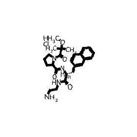 COC(C)(C)C(=O)N1CCCC1C(=O)N[C@H](Cc1ccc2ccccc2c1)C(=O)NCCN.Cl